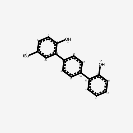 CC(C)(C)c1ccc(O)c(-c2ccc(-c3ccccc3O)cc2)c1